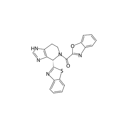 O=C(c1nc2ccccc2o1)N1CCc2[nH]cnc2[C@H]1c1nc2ccccc2s1